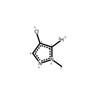 [2H]c1c(Cl)cnn1C